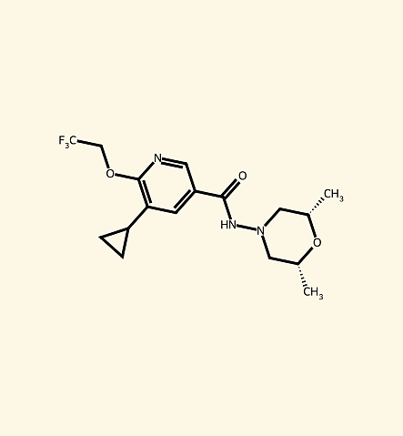 C[C@@H]1CN(NC(=O)c2cnc(OCC(F)(F)F)c(C3CC3)c2)C[C@H](C)O1